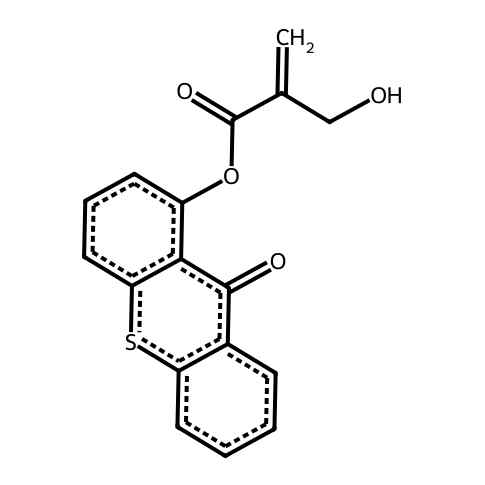 C=C(CO)C(=O)Oc1cccc2sc3ccccc3c(=O)c12